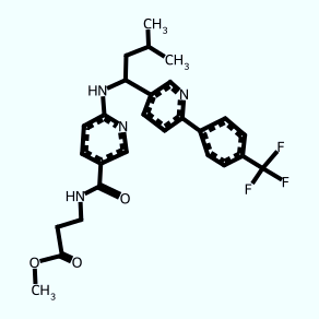 COC(=O)CCNC(=O)c1ccc(NC(CC(C)C)c2ccc(-c3ccc(C(F)(F)F)cc3)nc2)nc1